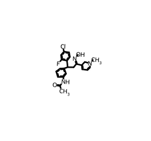 CC(=O)Nc1cccc(C(CC(=NO)C2=CC=CN(C)C2)c2ccc(Cl)cc2F)c1